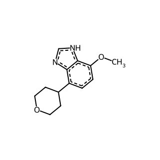 COc1ccc(C2CCOCC2)c2nc[nH]c12